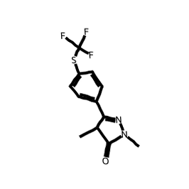 CC1C(=O)N(C)N=C1c1ccc(SC(F)(F)F)cc1